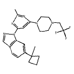 Cc1nc(N2CCN(CC(F)(F)F)CC2)cc(-n2ncc3ccc(C4(C)CCC4)cc32)n1